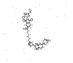 NC(=O)C(CCC=O)N1C(=O)c2ccc(NCCCCCCN3CC(c4cnc5ccc(N6CCNCC6)cc5n4)C=N3)cc2C1=O